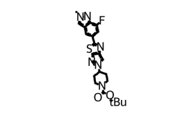 Cn1cc2cc(-c3nc4cn(C5CCN(C(=O)OC(C)(C)C)CC5)nc4s3)cc(F)c2n1